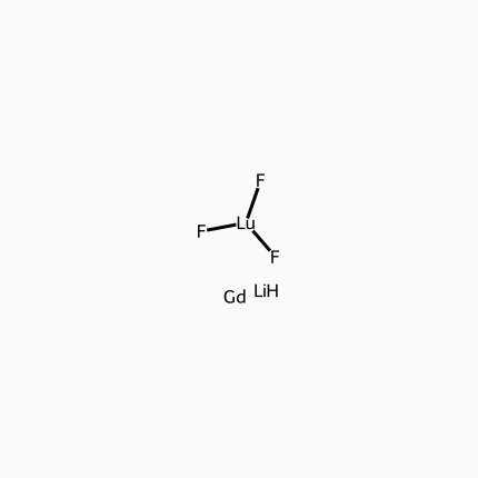 [F][Lu]([F])[F].[Gd].[LiH]